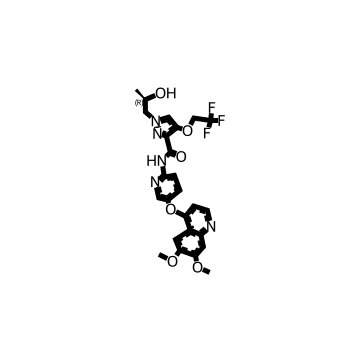 COc1cc2nccc(Oc3ccc(NC(=O)c4nn(C[C@@H](C)O)cc4OCC(F)(F)F)nc3)c2cc1OC